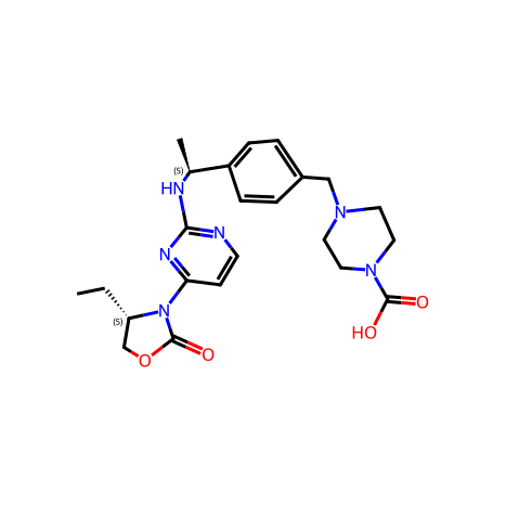 CC[C@H]1COC(=O)N1c1ccnc(N[C@@H](C)c2ccc(CN3CCN(C(=O)O)CC3)cc2)n1